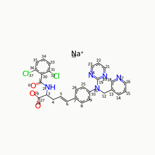 O=C(NC(C/C=C/c1ccc(N(Cc2cccnc2)c2ncccn2)cc1)C(=O)[O-])c1c(Cl)cccc1Cl.[Na+]